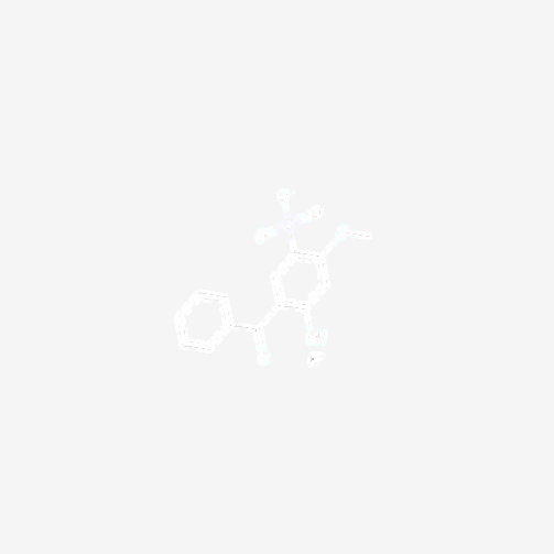 COc1cc(O)c(C(=O)c2ccccc2)cc1S(=O)(=O)[O-].[K+]